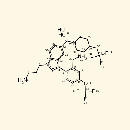 Cl.Cl.NCCCn1cc(-c2ccc(OC(F)(F)F)cc2CN)c2cc(CN3CCC(CC(F)(F)F)CC3)ccc21